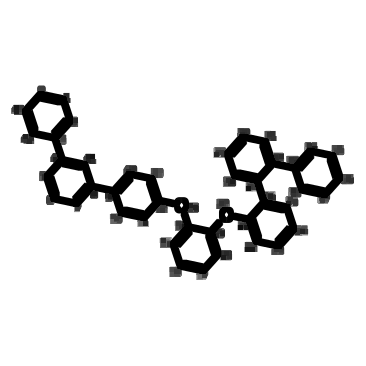 c1ccc(-c2cccc(-c3ccc(Oc4ccccc4Oc4ccccc4-c4ccccc4-c4ccccc4)cc3)c2)cc1